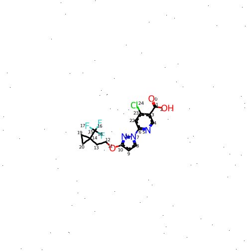 O=C(O)c1cnc(-n2ccc(OCCC3(C(F)(F)F)CC3)n2)cc1Cl